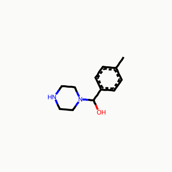 Cc1ccc(C(O)N2CCNCC2)cc1